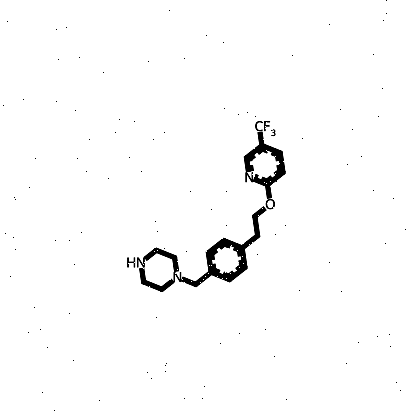 FC(F)(F)c1ccc(OCCc2ccc(CN3CCNCC3)cc2)nc1